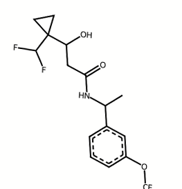 CC(NC(=O)CC(O)C1(C(F)F)CC1)c1cccc(OC(F)(F)F)c1